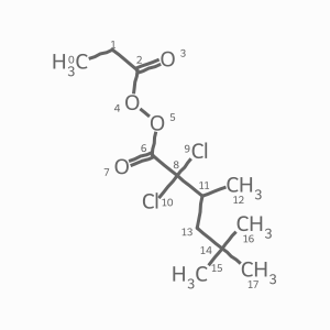 CCC(=O)OOC(=O)C(Cl)(Cl)C(C)CC(C)(C)C